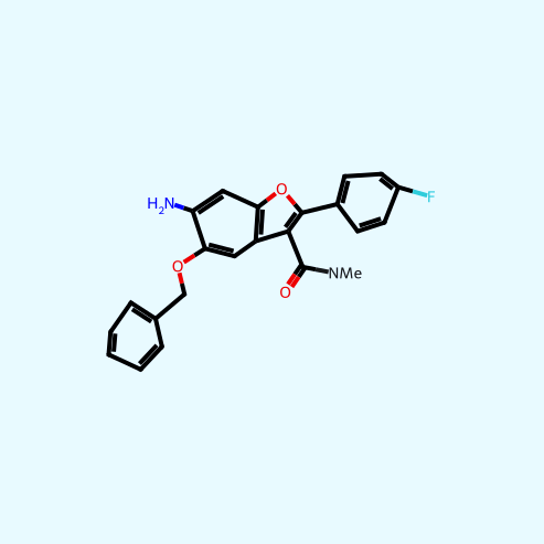 CNC(=O)c1c(-c2ccc(F)cc2)oc2cc(N)c(OCc3ccccc3)cc12